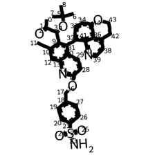 CC(=O)C(OC(C)(C)C)c1c(C)cc2nc(OCc3ccc(S(N)(=O)=O)cc3)ccc2c1-c1ccc2c3c(ccnc13)CCO2